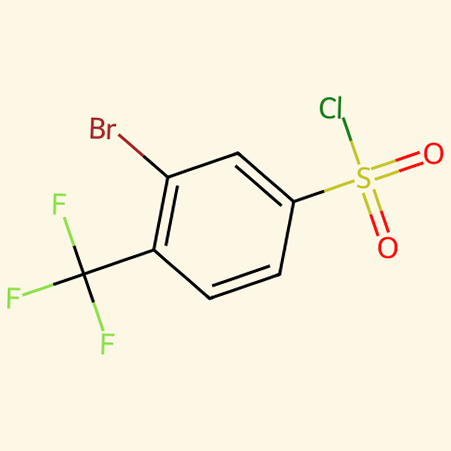 O=S(=O)(Cl)c1ccc(C(F)(F)F)c(Br)c1